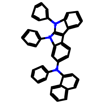 c1ccc(N(c2ccc3c4c5ccccc5n(-c5ccccc5)c4n(-c4ccccc4)c3c2)c2cccc3ccccc23)cc1